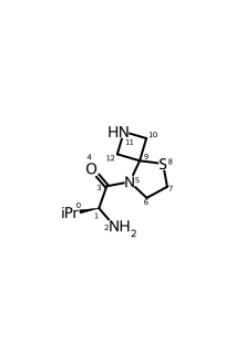 CC(C)[C@H](N)C(=O)N1CCSC12CNC2